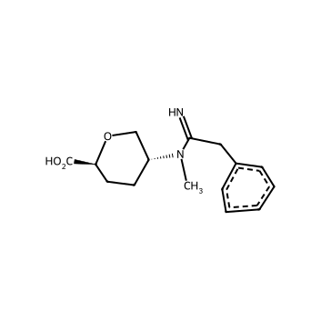 CN(C(=N)Cc1ccccc1)[C@@H]1CC[C@@H](C(=O)O)OC1